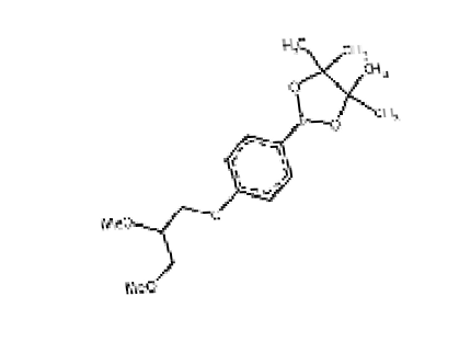 COCC(COc1ccc(B2OC(C)(C)C(C)(C)O2)cc1)OC